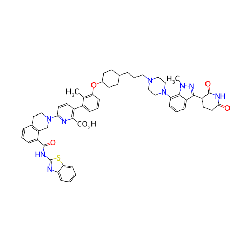 Cc1c(OC2CCC(CCCN3CCN(c4cccc5c(C6CCC(=O)NC6=O)nn(C)c45)CC3)CC2)cccc1-c1ccc(N2CCc3cccc(C(=O)Nc4nc5ccccc5s4)c3C2)nc1C(=O)O